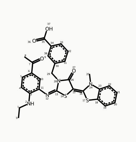 CCNc1ccc(C(C)=O)cc1/N=C1/S/C(=C2\Sc3ccccc3N2C)C(=O)N1Cc1cccc(C(=O)O)c1